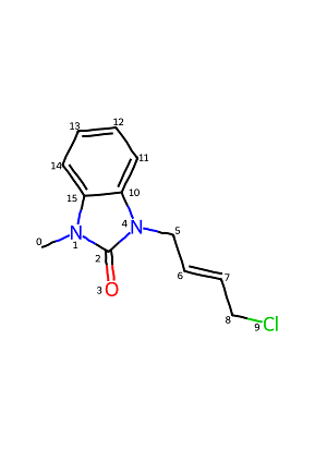 Cn1c(=O)n(CC=CCCl)c2ccccc21